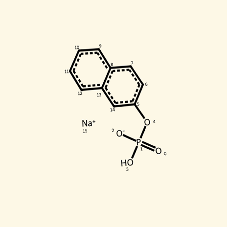 O=P([O-])(O)Oc1ccc2ccccc2c1.[Na+]